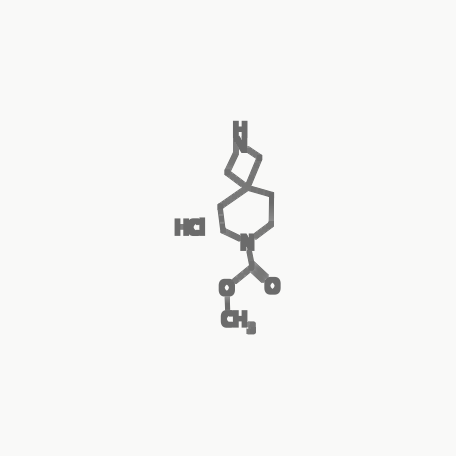 COC(=O)N1CCC2(CC1)CNC2.Cl